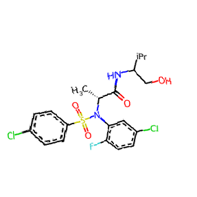 CC(C)C(CO)NC(=O)[C@@H](C)N(c1cc(Cl)ccc1F)S(=O)(=O)c1ccc(Cl)cc1